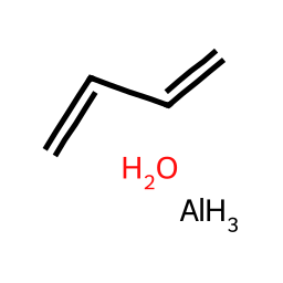 C=CC=C.O.[AlH3]